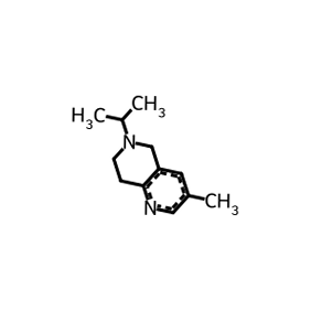 Cc1cnc2c(c1)CN(C(C)C)CC2